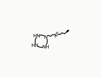 C#CCCCSSCCCN1CCCNCCNCCCNCC1